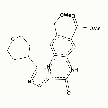 COCc1cc2c(cc1C(=O)OC)[nH]c(=O)c1cnc(C3CCOCC3)n12